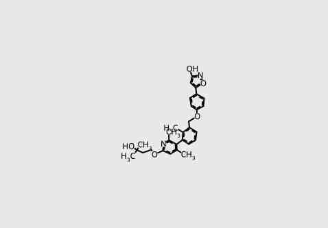 Cc1cc(OCCC(C)(C)O)nc(C)c1-c1cccc(COc2ccc(-c3cc(O)no3)cc2)c1C